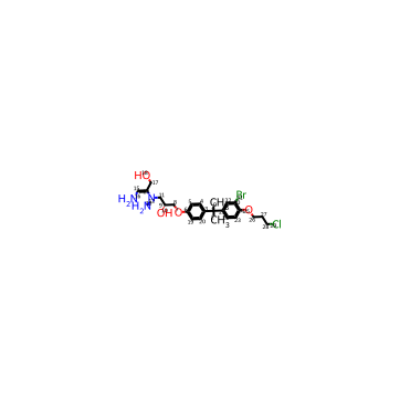 CC(C)(c1ccc(OC[C@H](O)CN(N)/C(=C\N)CO)cc1)c1ccc(OCCCCl)c(Br)c1